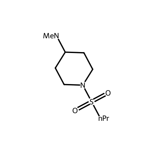 CCCS(=O)(=O)N1CCC(NC)CC1